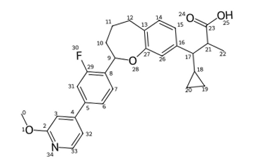 COc1cc(-c2ccc(C3CCCc4ccc(C(C5CC5)C(C)C(=O)O)cc4O3)c(F)c2)ccn1